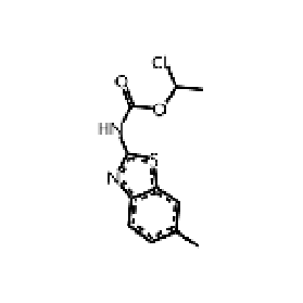 Cc1ccc2nc(NC(=O)OC(C)Cl)sc2c1